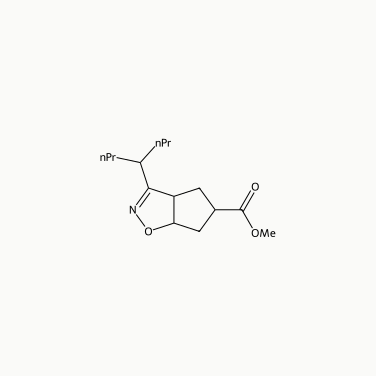 CCCC(CCC)C1=NOC2CC(C(=O)OC)CC12